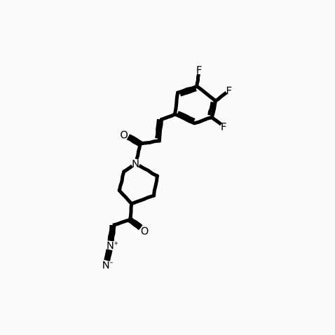 [N-]=[N+]=CC(=O)C1CCN(C(=O)C=Cc2cc(F)c(F)c(F)c2)CC1